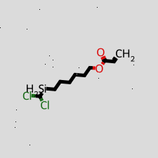 C=CC(=O)OCCCCCC[SiH2]C(Cl)Cl